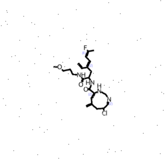 C=C/C(=C\C=C(/C)F)CC(NC(=O)/C1=C/C(=C)CC(Cl)/C=N\CN1)C(=O)NCCCOC